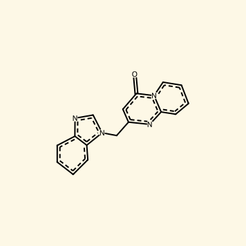 O=c1cc(Cn2cnc3ccccc32)nc2ccccn12